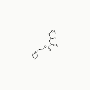 COC(=O)CC(C)C(=O)OCCn1ccnc1